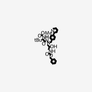 COC(=O)N[C@@H](C(=O)NN(Cc1ccc(-c2ccccn2)cc1)C[C@H](O)CNC(=O)OCc1ccccc1)C(C)(C)C